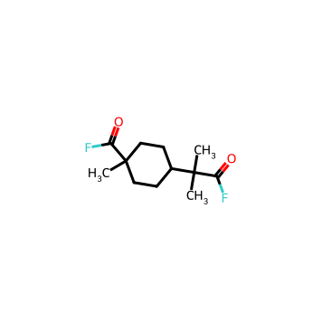 CC1(C(=O)F)CCC(C(C)(C)C(=O)F)CC1